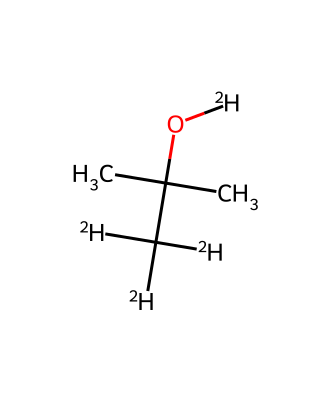 [2H]OC(C)(C)C([2H])([2H])[2H]